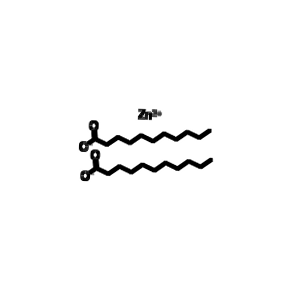 CCCCCCCCCCC(=O)[O-].CCCCCCCCCCC(=O)[O-].[Zn+2]